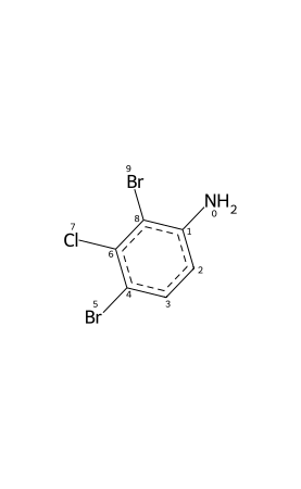 Nc1ccc(Br)c(Cl)c1Br